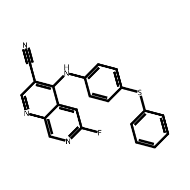 N#Cc1cnc2cnc(F)cc2c1Nc1ccc(Sc2ccccc2)cc1